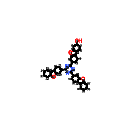 Oc1ccc2c(c1)oc1cc(-c3nc(-c4ccc5c(c4)oc4ccccc45)nc(-c4ccc5c(c4)oc4ccccc45)n3)ccc12